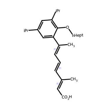 CCCCCCCOc1c(/C(C)=C/C=C/C(C)=C/C(=O)O)cc(C(C)C)cc1C(C)C